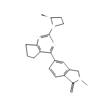 C[C@H]1CCN1c1nc2c(c(-c3ccc4c(c3)CN(C)C4=O)n1)CCC2